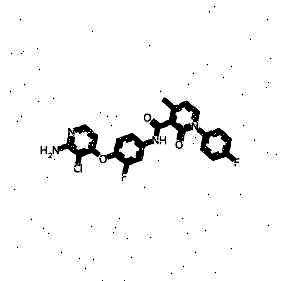 Cc1ccn(-c2ccc(F)cc2)c(=O)c1C(=O)Nc1ccc(Oc2ccnc(N)c2Cl)c(F)c1